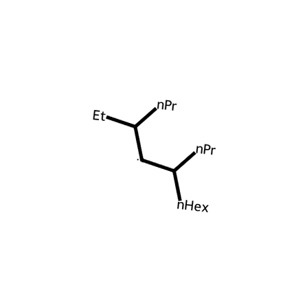 CCCCCCC([CH]C(CC)CCC)CCC